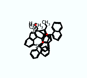 CCC1=C(c2cccc3ccccc23)c2c3cccc2[Si](c2ccccc2)(c2ccccc2)c2cccc4c2C(c2cccc5ccccc25)=C(CC)[CH]4[Ti]([CH3])([CH3])[CH]13